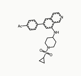 CC(=O)c1ccc(-c2cc(NC3CCN(S(=O)(=O)C4CC4)CC3)c3cnccc3c2)cc1